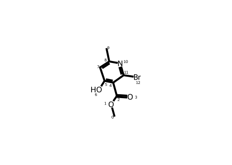 COC(=O)c1c(O)cc(C)nc1Br